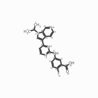 CC(C)n1cc(-c2ccnc(Nc3ccc(F)c(C(=O)O)c3)n2)c2ccncc21